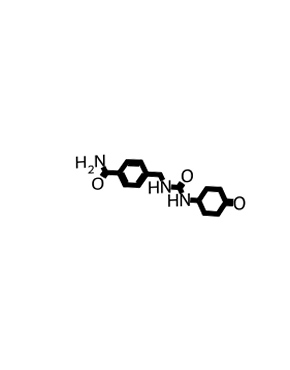 NC(=O)c1ccc(CNC(=O)NC2CCC(=O)CC2)cc1